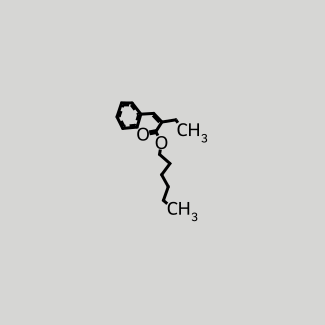 CCCCCCOC(=O)C(=Cc1ccccc1)CC